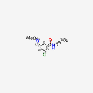 CCC(C)C#CNC(=O)c1cc(Cl)cc(C=NOC)c1